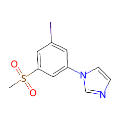 CS(=O)(=O)c1cc(I)cc(-n2ccnc2)c1